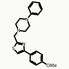 COc1ccc(-c2csc(CN3CCN(c4ccccc4)CC3)n2)cc1